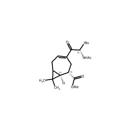 COC(=O)[C@H]1CC(C(=O)[C@@H](NC(C)=O)C(C)(C)C)=CCC2[C@@H]1C2(C)C